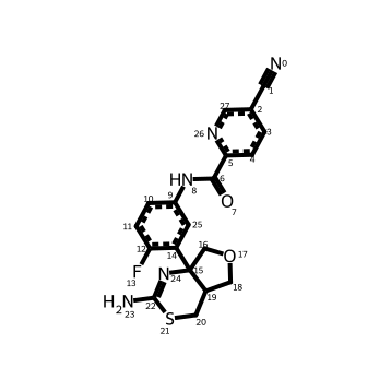 N#Cc1ccc(C(=O)Nc2ccc(F)c(C34COCC3CSC(N)=N4)c2)nc1